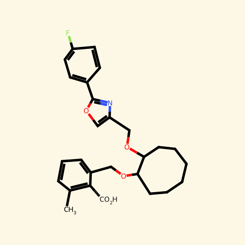 Cc1cccc(COC2CCCCCCC2OCc2coc(-c3ccc(F)cc3)n2)c1C(=O)O